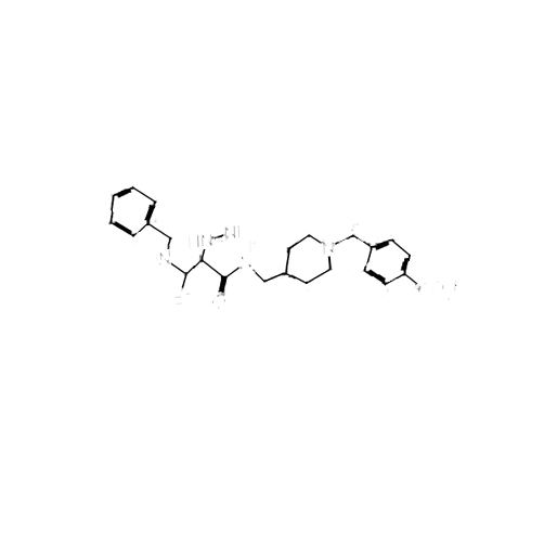 CCC(NCc1ccccc1)C(NN)C(=O)NCC1CCN(Cc2ccc(C(=O)O)cc2)CC1